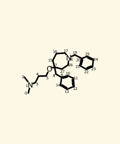 CN(C)CCCOC1(Cc2ccccc2)CCCN(Cc2ccccc2)CC1